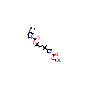 CC(C)(C)OC(=O)N1CC(C(C)(C)CCC(C)(C)OC(=O)N2CC[C@H](C(C)(C)C)C2)C1